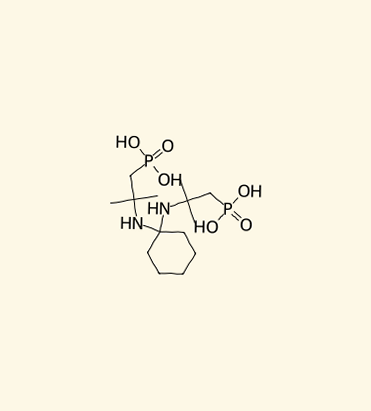 CC(C)(CP(=O)(O)O)NC1(NC(C)(C)CP(=O)(O)O)CCCCC1